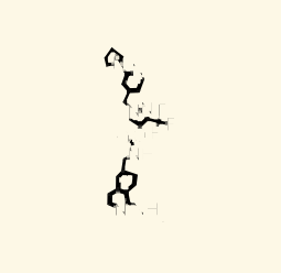 Nc1nccc2cc(CNC(=O)Oc3cn(Cc4ccnc(N5CCCC5)c4)nc3C(F)(F)F)ccc12